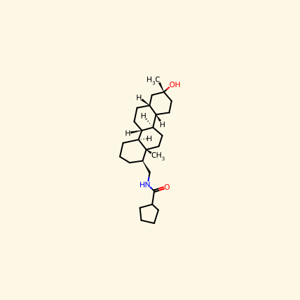 C[C@@]1(O)CC[C@H]2[C@H](CC[C@@H]3[C@@H]2CC[C@]2(C)[C@@H](CNC(=O)C4CCCC4)CCC[C@@H]32)C1